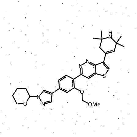 COCOc1cc(-c2cnn(C3CCCCO3)c2)ccc1-c1cc2scc(C3=CC(C)(C)NC(C)(C)C3)c2nn1